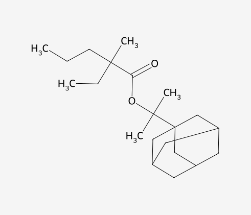 CCCC(C)(CC)C(=O)OC(C)(C)C12CC3CC(CC(C3)C1)C2